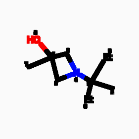 CCC(C)(CC)N1CC(C)(O)C1